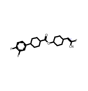 N#C/C(F)=C\C1CCC(OC(=O)C2CCC(c3ccc(F)c(F)c3)CC2)CC1